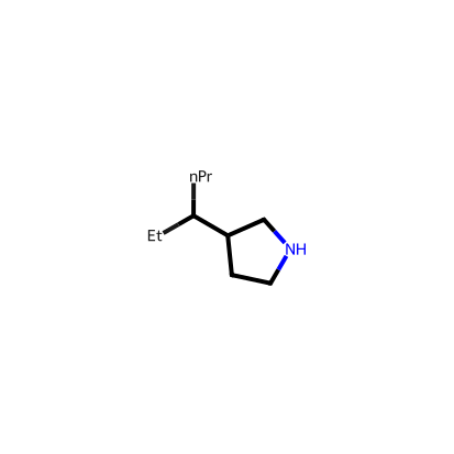 CCCC(CC)C1CCNC1